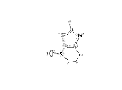 Cc1nc2c(s1)[S+]([O-])CCC2